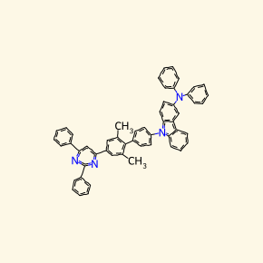 Cc1cc(-c2cc(-c3ccccc3)nc(-c3ccccc3)n2)cc(C)c1-c1ccc(-n2c3ccccc3c3cc(N(c4ccccc4)c4ccccc4)ccc32)cc1